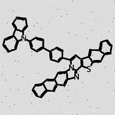 c1ccc2cc3cc4c(cc3cc2c1)nc1c2sc3cc5ccccc5cc3c2cc(-c2ccc(-c3ccc(-n5c6ccccc6c6ccccc65)cc3)cc2)n41